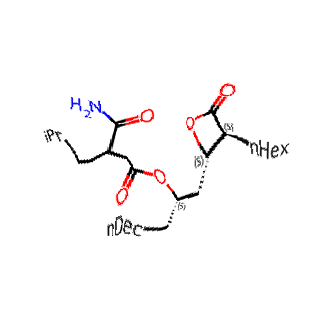 CCCCCCCCCCC[C@@H](C[C@@H]1OC(=O)[C@H]1CCCCCC)OC(=O)C(CC(C)C)C(N)=O